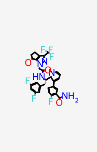 NC(=O)c1cc(-c2cccnc2[C@H](Cc2cc(F)cc(F)c2)NC(=O)Cn2nc(C(F)(F)F)c3c2C(=O)CC3)ccc1F